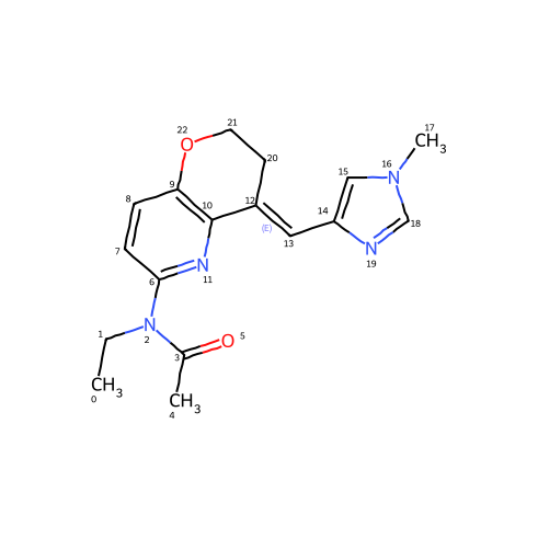 CCN(C(C)=O)c1ccc2c(n1)/C(=C/c1cn(C)cn1)CCO2